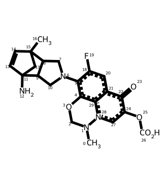 CN1COc2c(N3CC4C(C3)C3(N)C=CC4(C)C3)c(F)cc3c(=O)c(OC(=O)O)cn1c23